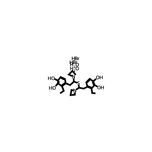 Br.Br.CCc1c(CC(SC(Cc2ccc(O)c(O)c2CC)N2CCC2)N2CCC2)ccc(O)c1O.O.O